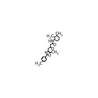 Cc1ccc(-c2nc(CC(=O)CC(=O)NC3CCCC(C)C3C)c(C)o2)cc1